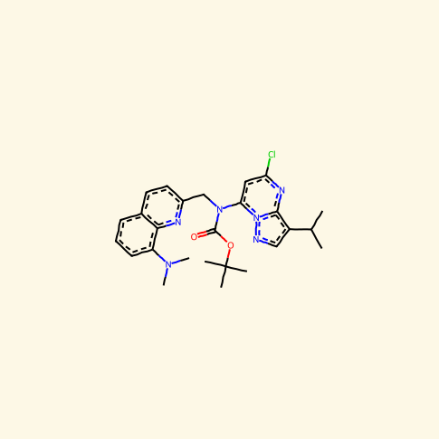 CC(C)c1cnn2c(N(Cc3ccc4cccc(N(C)C)c4n3)C(=O)OC(C)(C)C)cc(Cl)nc12